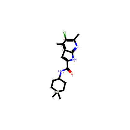 Cc1nc2[nH]c(C(=O)NC3CC[Si](C)(C)CC3)cc2c(C)c1Cl